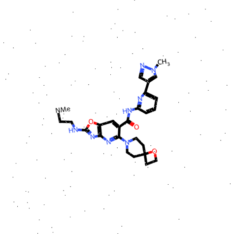 CNCCNc1nc2nc(N3CCC4(CCO4)CC3)c(C(=O)Nc3cccc(-c4cnn(C)c4)n3)cc2o1